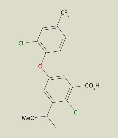 COC(C)c1cc(Oc2ccc(C(F)(F)F)cc2Cl)cc(C(=O)O)c1Cl